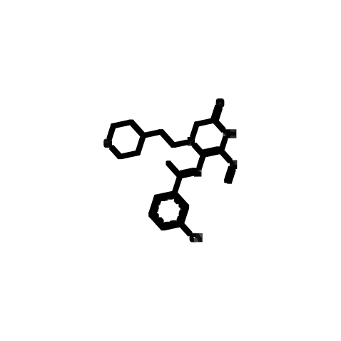 C=NC1=C(/N=C(\C)c2cccc(C#N)c2)N(CCC2CCOCC2)CC(=O)N1